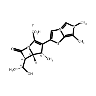 Cc1c2sc(C3=C(C(=O)O)N4C(=O)[C@H]([C@@H](C)O)[C@H]4[C@H]3C)c[n+]2cn1C.[I-]